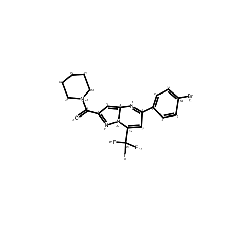 O=C(c1cc2nc(-c3ccc(Br)cc3)cc(C(F)(F)F)n2n1)N1CCCCC1